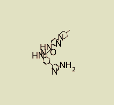 CC1CCN(c2ccc(NC(=O)c3n[nH]c4ccc(-c5cncc(N)c5)cc34)cn2)CC1